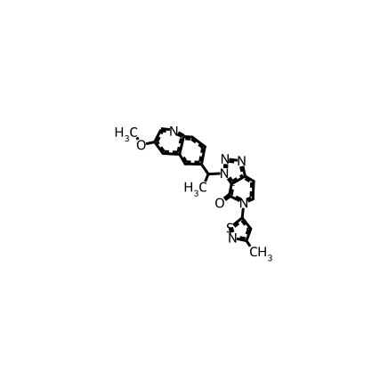 COc1cnc2ccc(C(C)n3nnc4ccn(-c5cc(C)ns5)c(=O)c43)cc2c1